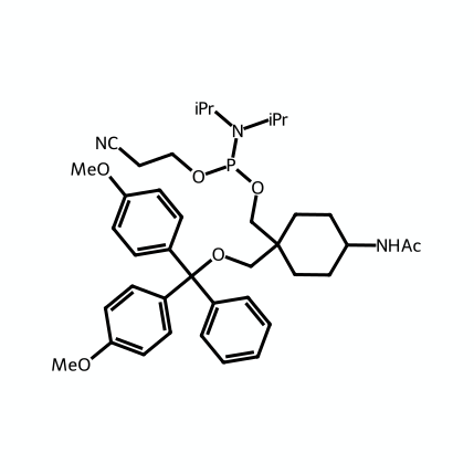 COc1ccc(C(OCC2(COP(OCCC#N)N(C(C)C)C(C)C)CCC(NC(C)=O)CC2)(c2ccccc2)c2ccc(OC)cc2)cc1